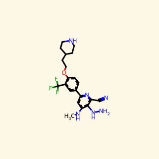 CNc1cc(-c2ccc(OCCC3CCNCC3)c(C(F)(F)F)c2)nc(C#N)c1NN